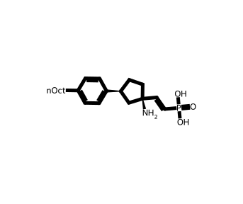 CCCCCCCCc1ccc([C@H]2CC[C@](N)(/C=C/P(=O)(O)O)C2)cc1